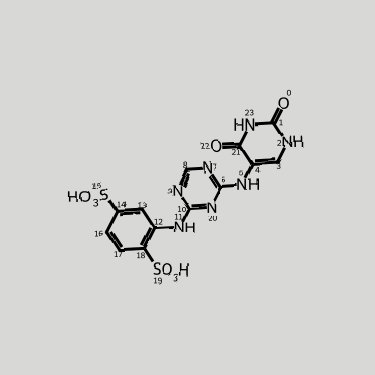 O=c1[nH]cc(Nc2ncnc(Nc3cc(S(=O)(=O)O)ccc3S(=O)(=O)O)n2)c(=O)[nH]1